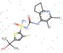 CCc1c(C(F)(F)F)nc2c(c1NC(=O)N=S(N)(=O)c1sc(C(C)(C)O)cc1F)CCC2